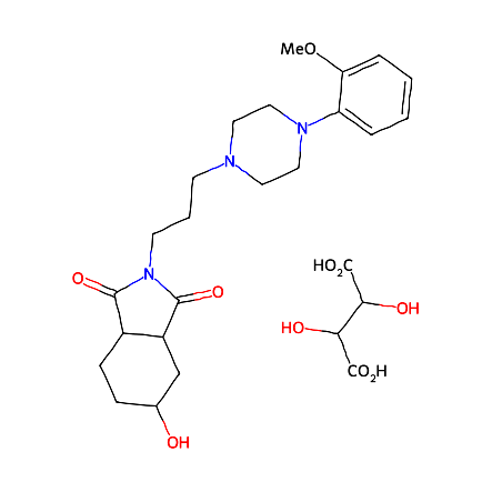 COc1ccccc1N1CCN(CCCN2C(=O)C3CCC(O)CC3C2=O)CC1.O=C(O)C(O)C(O)C(=O)O